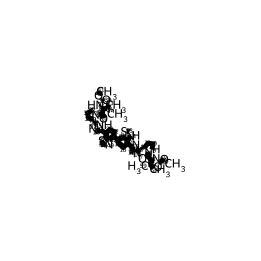 COC(=O)N[C@H](C(=O)N1CCC[C@H]1c1ncc(-c2ccc(-c3ccc(-c4cnc([C@@H]5CCCN5C(=O)[C@@H](NC(=O)OC)C(C)C)[nH]4)c4scnc34)c3scnc23)[nH]1)C(C)C